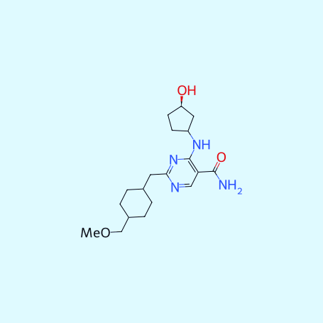 COCC1CCC(Cc2ncc(C(N)=O)c(NC3CC[C@@H](O)C3)n2)CC1